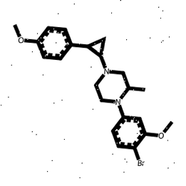 COc1ccc(C2CC2N2CCN(c3ccc(Br)c(OC)c3)C(C)C2)cc1